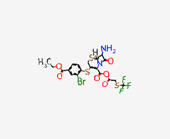 CCOC(=O)c1ccc(SC2=C(C(=O)OC(=O)CSC(F)(F)F)N3C(=O)C(N)[C@@H]3SC2)c(Br)c1